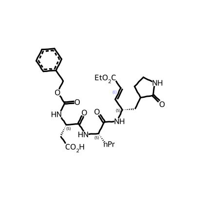 CCC[C@H](NC(=O)[C@H](CC(=O)O)NC(=O)OCc1ccccc1)C(=O)N[C@H](/C=C/C(=O)OCC)CC1CCNC1=O